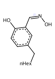 CCCCCCCc1ccc(O)c(/C=N\O)c1